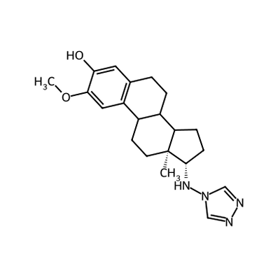 COc1cc2c(cc1O)CCC1C2CC[C@@]2(C)C1CC[C@@H]2Nn1cnnc1